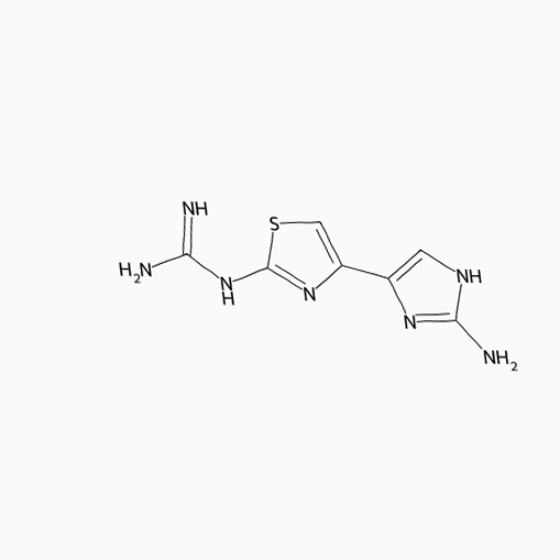 N=C(N)Nc1nc(-c2c[nH]c(N)n2)cs1